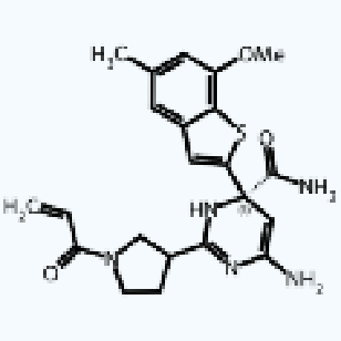 C=CC(=O)N1CCC(C2=NC(N)=C[C@](C(N)=O)(c3cc4cc(C)cc(OC)c4s3)N2)C1